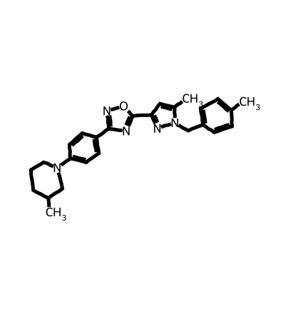 Cc1ccc(Cn2nc(-c3nc(-c4ccc(N5CCCC(C)C5)cc4)no3)cc2C)cc1